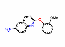 COc1ccccc1Oc1ccc2cc(N)ccc2n1